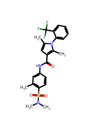 Cc1cc(NC(=O)c2cc(C)n(-c3ccccc3C(F)(F)F)c2C)ccc1S(=O)(=O)N(C)C